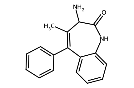 CC1=C(c2ccccc2)c2ccccc2NC(=O)C1N